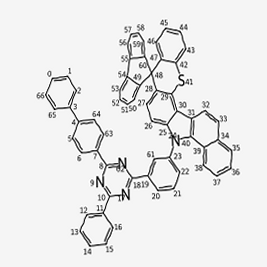 c1ccc(-c2ccc(-c3nc(-c4ccccc4)nc(-c4cccc(-n5c6ccc7c(c6c6ccc8ccccc8c65)Sc5ccccc5C75c6ccccc6-c6ccccc65)c4)n3)cc2)cc1